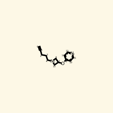 C#CCCCN1CC(Oc2ccncc2)C1